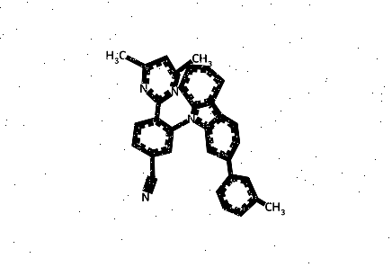 Cc1cccc(-c2ccc3c4ccccc4n(-c4cc(C#N)ccc4-c4nc(C)cc(C)n4)c3c2)c1